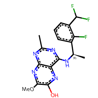 COc1nc2nc(C)nc(N[C@H](C)c3cccc(C(F)F)c3F)c2nc1O